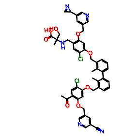 CC(=O)c1cc(Cl)c(OCc2cccc(-c3cccc(COc4cc(OCc5cncc(C6C=N6)c5)c(CNC(C)(CO)C(=O)O)cc4Cl)c3C)c2C)cc1OCc1cncc(C#N)c1